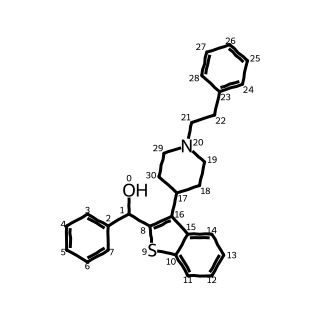 OC(c1ccccc1)c1sc2ccccc2c1C1CCN(CCc2ccccc2)CC1